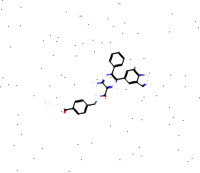 COC(=O)c1ccc(CNC(=O)c2nc(-c3cc(Cl)c4[nH]ncc4c3)c(-c3ccccc3)nc2N)cc1